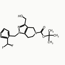 CC(C)(C)OC(=O)N1CCc2c(c(CO)nn2Cc2ccccc2C(F)F)C1